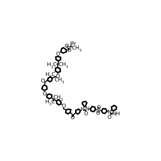 CC(C)C(C)S(=O)(=O)c1ccc(Oc2ccc(C(C)(C)c3ccc(OC(C)(C)c4ccc(C(=O)c5ccc(Oc6ccc(C(C)(C)c7ccc(OCc8ccc(C(=O)c9ccc(-n%10c(=O)n(-c%11ccc(S(=O)(=O)c%12ccc(-n%13c(=O)[nH]c%14ccccc%14%13)cc%12)cc%11)c%11ccccc%11%10)cc9)cc8)cc7)cc6)cc5)cc4)cc3)cc2)cc1